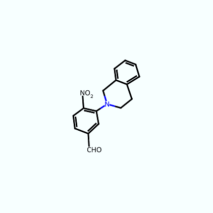 O=Cc1ccc([N+](=O)[O-])c(N2CCc3ccccc3C2)c1